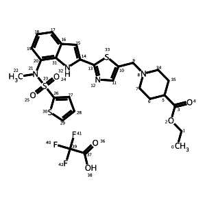 CCOC(=O)C1CCN(Cc2cnc(-c3cc4cccc(N(C)S(=O)(=O)c5cccs5)c4[nH]3)s2)CC1.O=C(O)C(F)(F)F